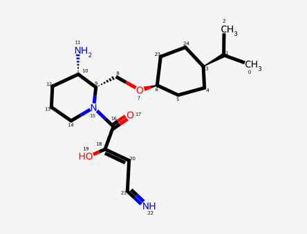 CC(C)[C@H]1CC[C@@H](OC[C@H]2[C@@H](N)CCCN2C(=O)/C(O)=C/C=N)CC1